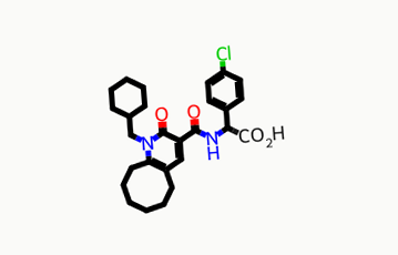 O=C(NC(C(=O)O)c1ccc(Cl)cc1)c1cc2c(n(CC3CCCCC3)c1=O)CCCCCC2